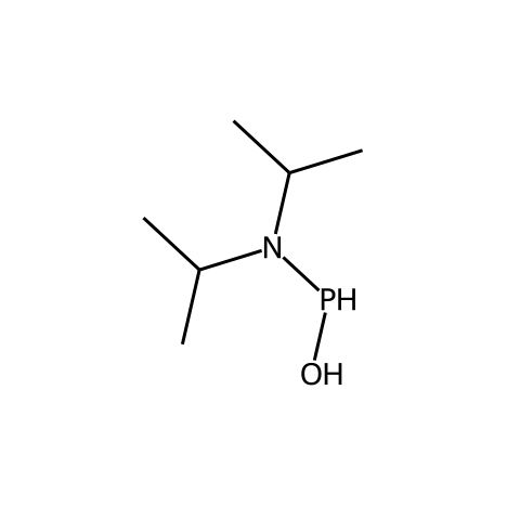 CC(C)N(PO)C(C)C